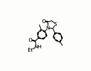 CCNC(=O)c1ccc(N2C(=O)CSC2c2ccc(C)cc2)c(C)c1